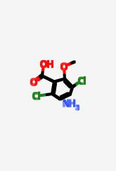 COc1c(Cl)ccc(Cl)c1C(=O)O.N